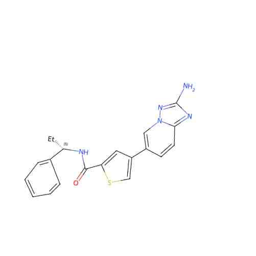 CC[C@H](NC(=O)c1cc(-c2ccc3nc(N)nn3c2)cs1)c1ccccc1